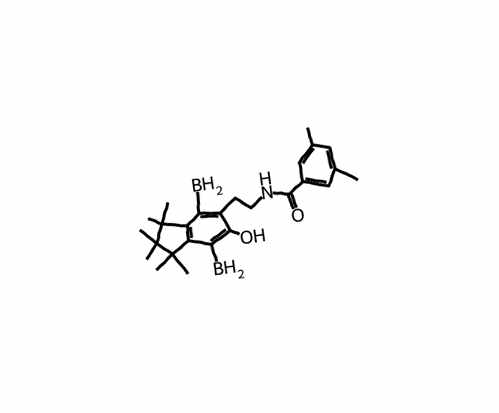 Bc1c(O)c(CCNC(=O)c2cc(C)cc(C)c2)c(B)c2c1C(C)(C)C(C)(C)C2(C)C